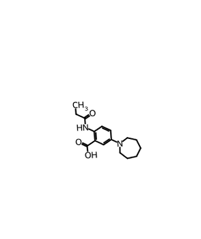 CCC(=O)Nc1ccc(N2CCCCCC2)cc1C(=O)O